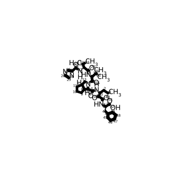 CCCC(NC(=O)C1[C@H]2CCC[C@H]2CN1C(=O)C(NC(=O)[C@H](NC(=O)c1cnccn1)C(C)C)C(C)C)C(=O)C(=O)N[C@H](Cc1ccccc1)C(=O)O